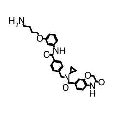 NCCCCOc1cccc(NC(=O)c2ccc(CN(C(=O)c3ccc4c(c3)OCC(=O)N4)C3CC3)cc2)c1